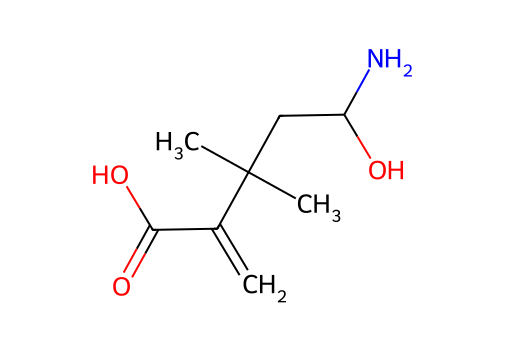 C=C(C(=O)O)C(C)(C)CC(N)O